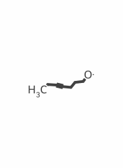 CCC#CCCC[O]